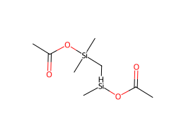 CC(=O)O[SiH](C)C[Si](C)(C)OC(C)=O